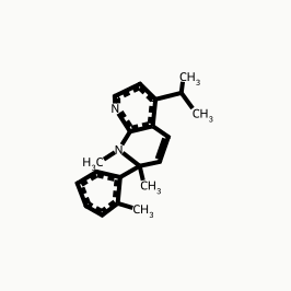 Cc1ccccc1C1(C)C=Cc2c(C(C)C)ccnc2N1C